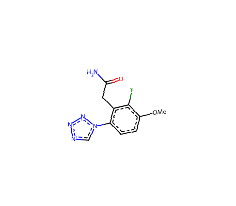 COc1ccc(-n2cnnn2)c(CC(N)=O)c1F